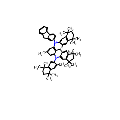 Cc1cc2c3c(c1)N(c1cc4c(cc1C)C(C)(C)CCC4(C)C)c1cc4c(cc1B3c1cc3c(cc1N2c1ccc2c(c1)Cc1ccccc1-2)C(C)(C)CCC3(C)C)C(C)(C)CC4(C)C